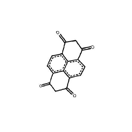 O=C1CC(=O)c2ccc3c4c(ccc1c24)C(=O)CC3=O